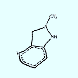 CN1Cc2ncccc2N1